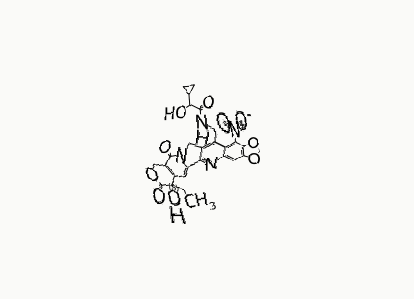 CC[C@@]1(O)C(=O)OCc2c1cc1n(c2=O)Cc2c-1nc1cc3c(c([N+](=O)[O-])c1c2CNC(=O)C(O)C1CC1)OCO3